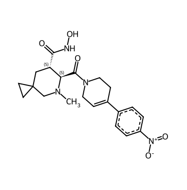 CN1CC2(CC2)C[C@H](C(=O)NO)[C@H]1C(=O)N1CC=C(c2ccc([N+](=O)[O-])cc2)CC1